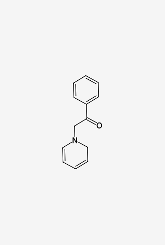 O=C(CN1C=CC=CC1)c1ccccc1